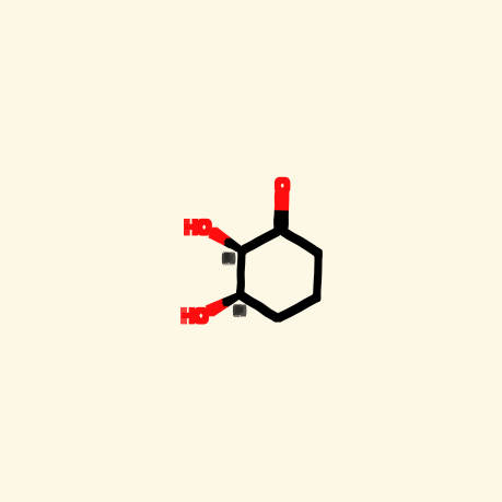 O=C1CCC[C@@H](O)[C@H]1O